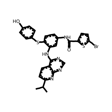 CC(C)c1ccc2c(Nc3cc(NC(=O)c4ccc(Br)s4)ccc3Sc3ccc(O)cc3)ncnc2n1